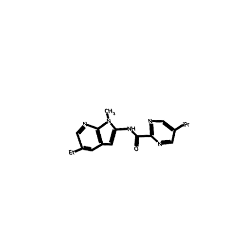 CCc1cnc2c(c1)cc(NC(=O)c1ncc(C(C)C)cn1)n2C